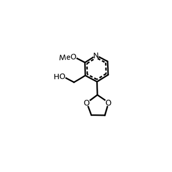 COc1nccc(C2OCCO2)c1CO